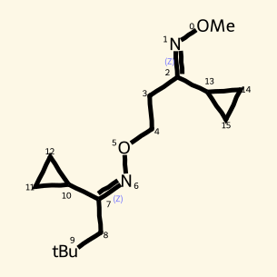 CO/N=C(/CCO/N=C(/CC(C)(C)C)C1CC1)C1CC1